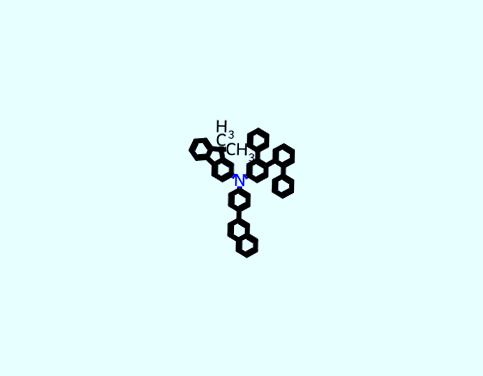 CC1(C)c2ccccc2-c2ccc(N(c3ccc(-c4ccc5ccccc5c4)cc3)c3ccc(-c4ccccc4-c4ccccc4)c(-c4ccccc4)c3)cc21